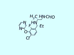 CC[C@@H](N[C@H](C)CNC=O)c1ccc(Cl)c(Oc2cnccn2)c1F